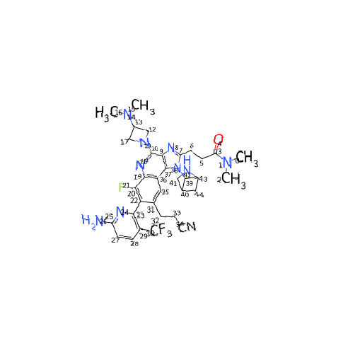 CN(C)C(=O)CCc1nc2c(N3CC(N(C)C)C3)nc3c(F)c(-c4nc(N)ccc4C(F)(F)F)c(CCC#N)cc3c2n1C1C2CNC1C2